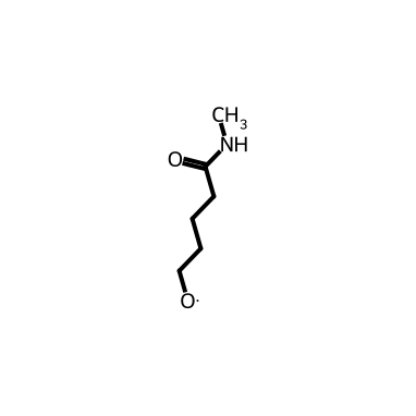 CNC(=O)CCCC[O]